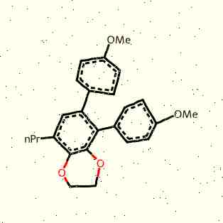 CCCc1[c]c(-c2ccc(OC)cc2)c(-c2ccc(OC)cc2)c2c1OCCO2